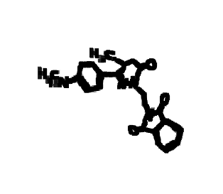 CNc1ccc(C2=NN(CCN3C(=O)c4ccccc4C3=O)C(=O)CC2C)cc1